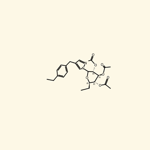 CCc1ccc(Cc2cnn(C3O[C@H](CC)[C@@H](OC(C)=O)[C@H](OC(C)=O)[C@H]3OC(C)=O)c2)cc1